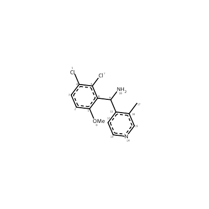 COc1ccc(Cl)c(Cl)c1C(N)c1ccncc1C